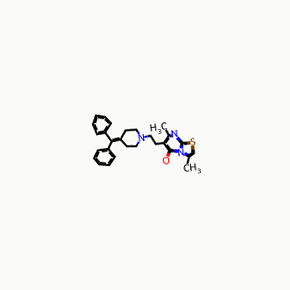 Cc1nc2scc(C)n2c(=O)c1CCN1CCC(=C(c2ccccc2)c2ccccc2)CC1